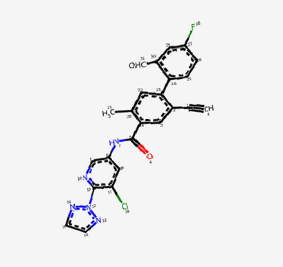 C#Cc1cc(C(=O)Nc2cnc(-n3nccn3)c(Cl)c2)c(C)cc1-c1ccc(F)cc1C=O